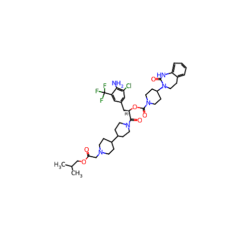 CC(C)COC(=O)CN1CCC(C2CCN(C(=O)[C@@H](Cc3cc(Cl)c(N)c(C(F)(F)F)c3)OC(=O)N3CCC(N4CCc5ccccc5NC4=O)CC3)CC2)CC1